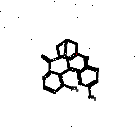 Cc1ccc(OC2CC3CCC2N(C(=O)c2nccc(C)c2-c2ccccn2)C3)nc1